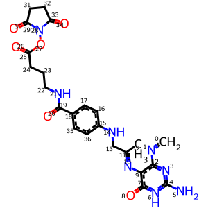 C=Nc1nc(N)[nH]c(=O)c1/N=C(\C)CNc1ccc(C(=O)NCCCC(=O)ON2C(=O)CCC2=O)cc1